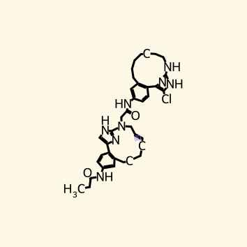 CCC(=O)Nc1ccc2c(c1)CCCC/C=C/CN(CC(=O)Nc1ccc3c(c1)CCCCCCCNc1nc-3c(Cl)[nH]1)c1nc-2c[nH]1